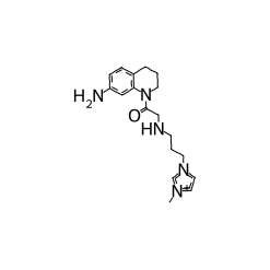 C[n+]1ccn(CCCNCC(=O)N2CCCc3ccc(N)cc32)c1